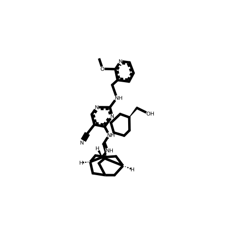 COc1ncccc1CNc1ncc(C#N)c(NC[C@]23CC4C[C@H](C2)[C@@H](NC[C@H]2CC[C@H](CO)CC2)[C@@H](C4)C3)n1